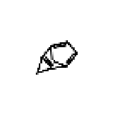 C1=C2CC(=C1)C1=C2C1